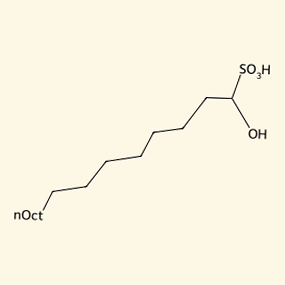 CCCCCCCCCCCCCCCC(O)S(=O)(=O)O